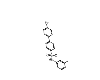 Cc1cccc(NS(=O)(=O)c2ccc(-c3ccc(Br)cc3)cc2)c1